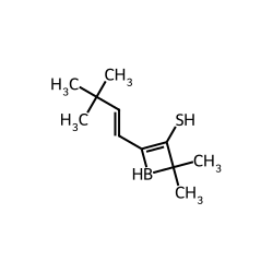 CC(C)(C)/C=C/C1=C(S)C(C)(C)B1